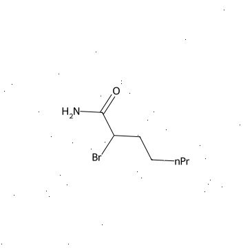 [CH2]CCCCC(Br)C(N)=O